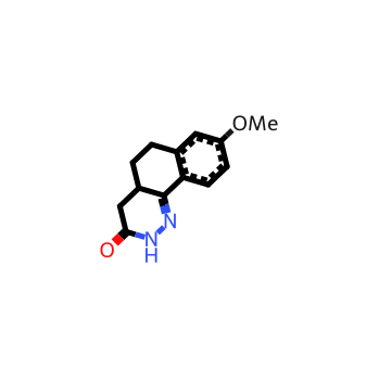 COc1ccc2c(c1)CCC1CC(=O)NN=C21